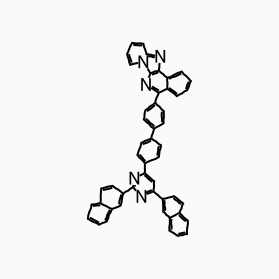 c1ccc2cc(-c3cc(-c4ccc(-c5ccc(-c6nc7c(nc8ccccn87)c7ccccc67)cc5)cc4)nc(-c4ccc5ccccc5c4)n3)ccc2c1